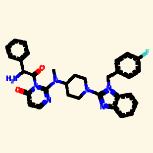 CN(c1nccc(=O)n1C(=O)C(N)c1ccccc1)C1CCN(c2nc3ccccc3n2Cc2ccc(F)cc2)CC1